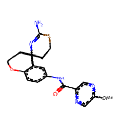 COc1cnc(C(=O)Nc2ccc3c(c2)C2(CCO3)CCSC(N)=N2)cn1